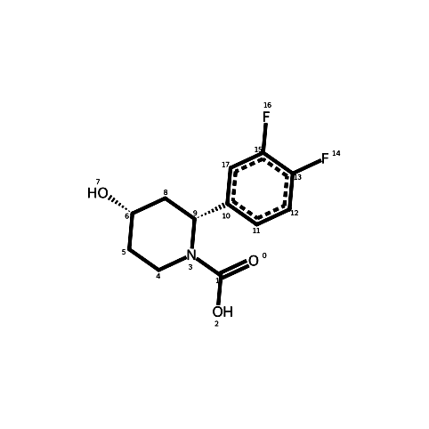 O=C(O)N1CC[C@H](O)C[C@@H]1c1ccc(F)c(F)c1